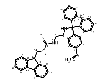 C=Cc1ccc(C(NCCNC(=O)OCC2c3ccccc3-c3ccccc32)(c2ccccc2)c2ccccc2Cl)cc1